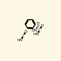 N=C=O.N=C=O.O=NO.c1ccccc1